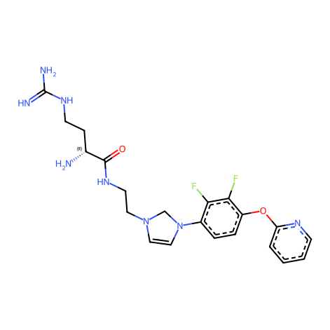 N=C(N)NCC[C@@H](N)C(=O)NCCN1C=CN(c2ccc(Oc3ccccn3)c(F)c2F)C1